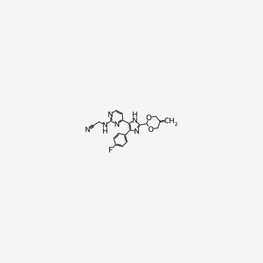 C=C1COC(c2nc(-c3ccc(F)cc3)c(-c3ccnc(NCC#N)n3)[nH]2)OC1